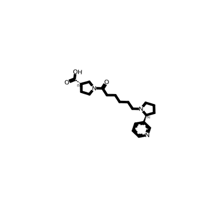 O=C(O)[C@H]1CCN(C(=O)CCCCCN2CCC[C@H]2c2cccnc2)C1